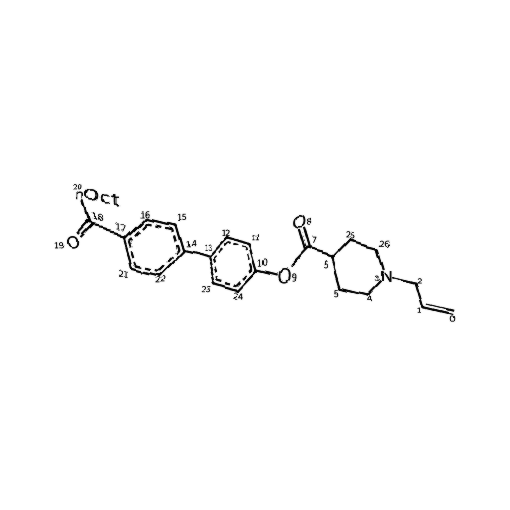 C=CCN1CCC(C(=O)Oc2ccc(-c3ccc(C(=O)CCCCCCCC)cc3)cc2)CC1